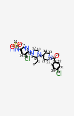 CC[C@H]1CN(c2ncc(NS(C)(=O)=O)cc2Cl)CCN1C1CCN(C(=O)c2ccc(Cl)cc2)CC1